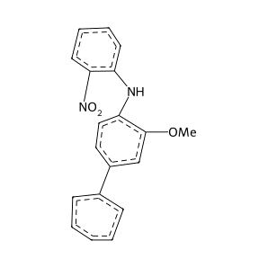 COc1cc(-c2ccccc2)ccc1Nc1ccccc1[N+](=O)[O-]